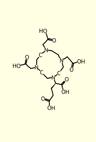 O=C(O)CC[C@H](C(=O)O)N1CCN(CC(=O)O)CCN(CC(=O)O)CCN(CC(=O)O)CC1